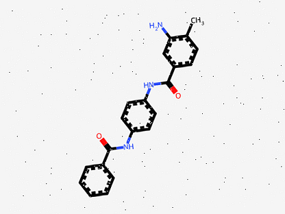 Cc1ccc(C(=O)Nc2ccc(NC(=O)c3ccccc3)cc2)cc1N